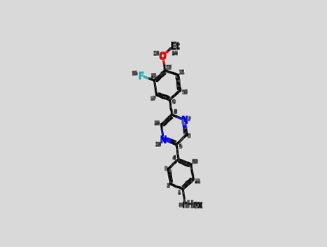 CCCCCCc1ccc(-c2cnc(-c3ccc(OCC)c(F)c3)cn2)cc1